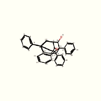 BrC1C2CC3(c4ccccc4)CC1C(Br)C(c1ccccc1)(C2)C3(c1ccccc1)c1ccccc1